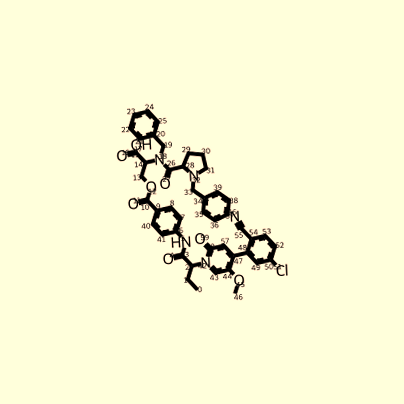 CCC(C(=O)Nc1ccc(C(=O)OCC(C(=O)O)N(Cc2ccccc2)C(=O)C2CCCN2Cc2ccccc2)cc1)n1cc(OC)c(-c2cc(Cl)ccc2C#N)cc1=O